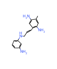 Cc1cc(N)c(C=CCNc2cccc(N)c2)cc1N